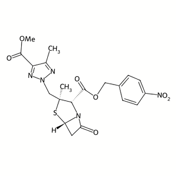 COC(=O)c1nn(C[C@]2(C)S[C@H]3CC(=O)N3[C@H]2C(=O)OCc2ccc([N+](=O)[O-])cc2)nc1C